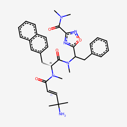 CN(C)C(=O)c1noc(C(Cc2ccccc2)N(C)C(=O)[C@@H](Cc2ccc3ccccc3c2)N(C)C(=O)/C=C/C(C)(C)N)n1